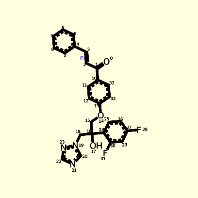 O=C(/C=C/c1ccccc1)c1ccc(OCC(O)(Cn2cncn2)c2ccc(F)cc2F)cc1